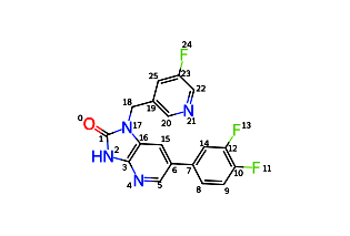 O=c1[nH]c2ncc(-c3ccc(F)c(F)c3)cc2n1Cc1cncc(F)c1